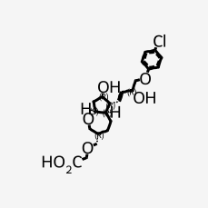 O=C(O)COC[C@H]1CC[C@@H]2[C@@H](C=C[C@@H](O)COc3ccc(Cl)cc3)[C@H](O)C[C@@H]2OC1